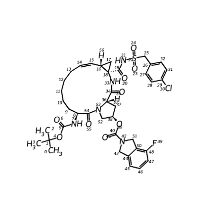 CC(C)(C)OC(=O)N[C@H]1CCCCC/C=C\[C@@H]2C[C@@]2(C(=O)NS(=O)(=O)Cc2ccc(Cl)cc2)NC(=O)[C@@H]2C[C@@H](OC(=O)N3Cc4cccc(F)c4C3)CN2C1=O